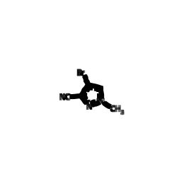 Cn1cc(Br)c(C#N)n1